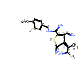 COc1ccc(CNC(=N)C2=C(C=N)/C(=C(\C)C(C)=N)C(=N)S2)cc1F